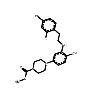 CC(C)(C)OC(=O)N1CCN(c2ccc(C#N)c(NCCc3ccc(Cl)cc3Cl)c2)CC1